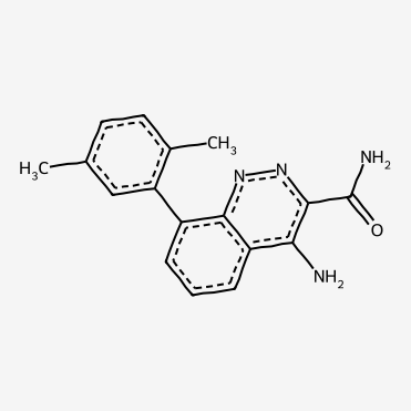 Cc1ccc(C)c(-c2cccc3c(N)c(C(N)=O)nnc23)c1